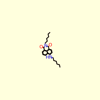 CCCCCCNc1ccc2c3c(cccc13)C(=O)N(CCCCCC)C2=O